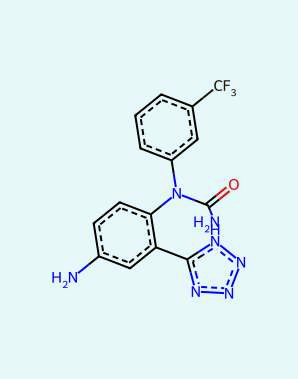 NC(=O)N(c1cccc(C(F)(F)F)c1)c1ccc(N)cc1-c1nnn[nH]1